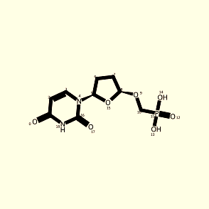 O=c1ccn([C@H]2CC[C@@H](OCP(=O)(O)O)O2)c(=O)[nH]1